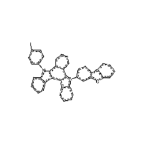 Cc1ccc(-n2c3ccccc3c3c4c5ccccc5n(-c5ccc6c(c5)oc5ccccc56)c4c4ccccc4c32)cc1